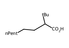 CCCCCCCC(C(=O)O)C(C)(C)C